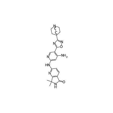 CC1(C)NC(=O)c2ccc(Nc3cc(N)c(-c4nc(C56CCN(CC5)CC6)no4)cn3)nc21